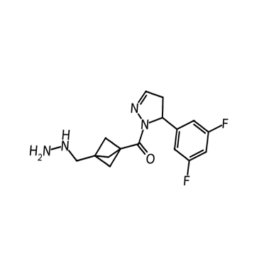 NNCC12CC(C(=O)N3N=CCC3c3cc(F)cc(F)c3)(C1)C2